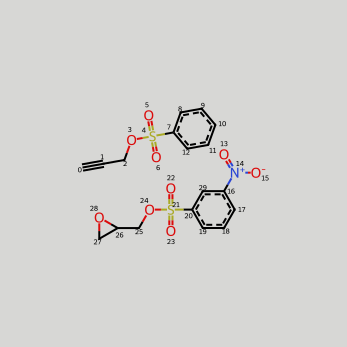 C#CCOS(=O)(=O)c1ccccc1.O=[N+]([O-])c1cccc(S(=O)(=O)OCC2CO2)c1